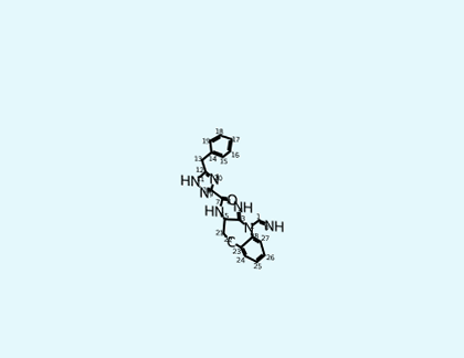 N=CN1C(=N)C(NC(=O)c2n[nH]c(Cc3ccccc3)n2)CCc2ccccc21